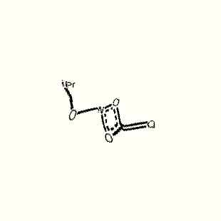 CC(C)On1oc(=O)o1